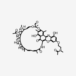 CO[C@H]1/C=C/O[C@](C)(C=O)Oc2c(C)c(O)c3c(=O)c(c4oc5cc(OCCN(C)C(C)=O)cc(O)c5nc-4c3c2C)NC(=O)/C(C)=C\C=C\[C@H](C)[C@H](O)[C@@H](C)[C@@H](O)[C@@H](C)[C@H](OC(C)=O)[C@@H]1C